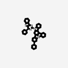 c1ccc(-c2ccc3c4cc5c(c6ccccc6n5-c5nc(-c6ccccc6)c6sc7ccccc7c6n5)c5c6ccccc6n(c3c2)c45)cc1